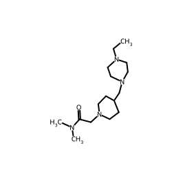 CCN1CCN(CC2CCN(CC(=O)N(C)C)CC2)CC1